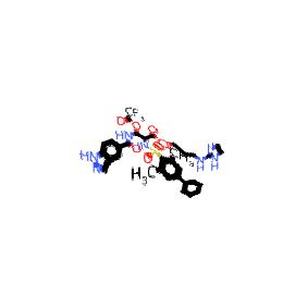 Cc1cc(-c2ccccc2)cc(C)c1S(=O)(=O)N[C@H](C(=O)OCCCNc1ncc[nH]1)C(NC(=O)c1ccc2[nH]ncc2c1)OC(=O)C(F)(F)F